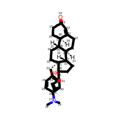 C=CC[C@]1(O)CC[C@H]2[C@@H]3CCC4=CC(=O)CC[C@@H]4[C@H]3CC[C@@]21Cc1ccc(N(C)C)cc1